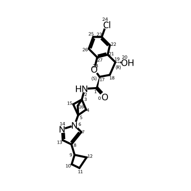 O=C(NC12CC(n3cc(C4CCC4)cn3)(C1)C2)[C@@H]1C[C@@H](O)c2cc(Cl)ccc2O1